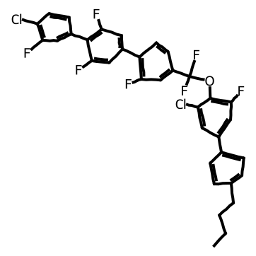 CCCCc1ccc(-c2cc(F)c(OC(F)(F)c3ccc(-c4cc(F)c(-c5ccc(Cl)c(F)c5)c(F)c4)c(F)c3)c(Cl)c2)cc1